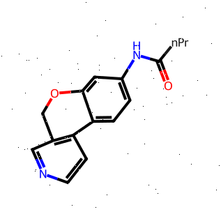 CCCC(=O)Nc1ccc2c(c1)OCc1cnccc1-2